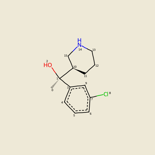 C[C@@](O)(c1cccc(Cl)c1)[C@@H]1CCCNC1